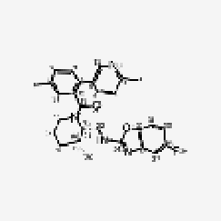 Cc1ccc(-c2ccc(C)nc2)c(C(=O)N2CCC[C@@H](C)[C@H]2CNc2nc3cc(F)ccc3o2)c1